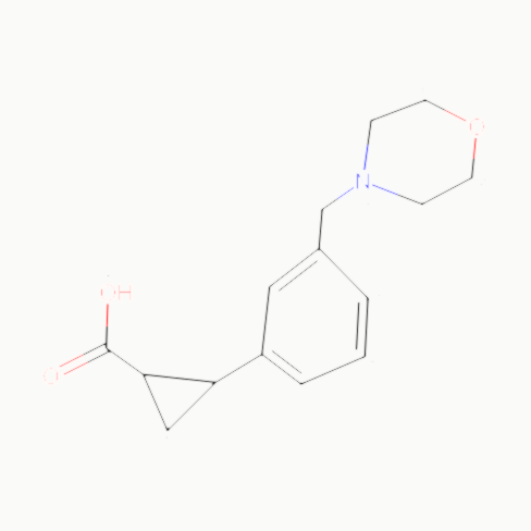 O=C(O)C1CC1c1cccc(CN2CCOCC2)c1